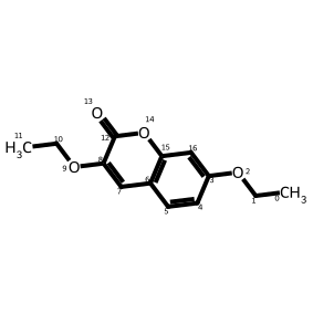 CCOc1ccc2cc(OCC)c(=O)oc2c1